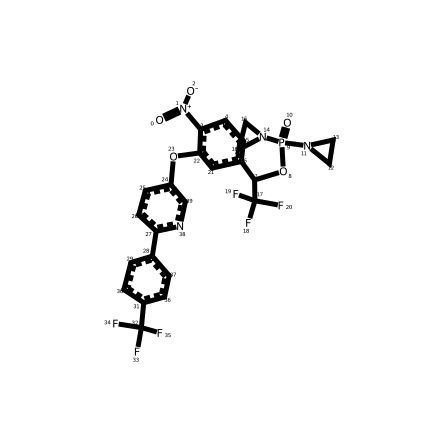 O=[N+]([O-])c1ccc(C(OP(=O)(N2CC2)N2CC2)C(F)(F)F)cc1Oc1ccc(-c2ccc(C(F)(F)F)cc2)nc1